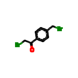 O=C(CBr)c1ccc(CBr)cc1